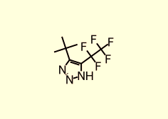 CC(C)(C)c1nn[nH]c1C(F)(F)C(F)(F)F